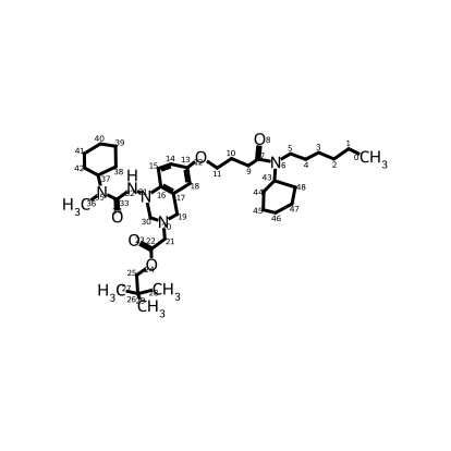 CCCCCCN(C(=O)CCCOc1ccc2c(c1)CN(CC(=O)OCC(C)(C)C)CN2NC(=O)N(C)C1CCCCC1)C1CCCCC1